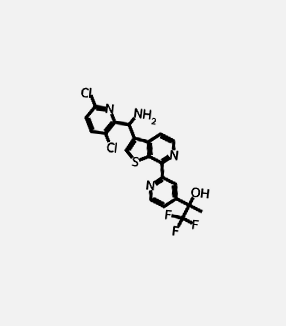 CC(O)(c1ccnc(-c2nccc3c(C(N)c4nc(Cl)ccc4Cl)csc23)c1)C(F)(F)F